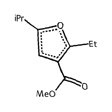 CCc1oc(C(C)C)cc1C(=O)OC